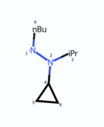 CCCC[N]N(C(C)C)C1CC1